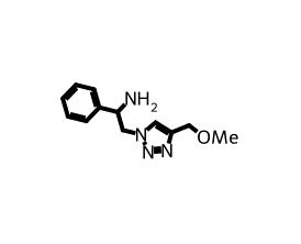 COCc1cn(CC(N)c2ccccc2)nn1